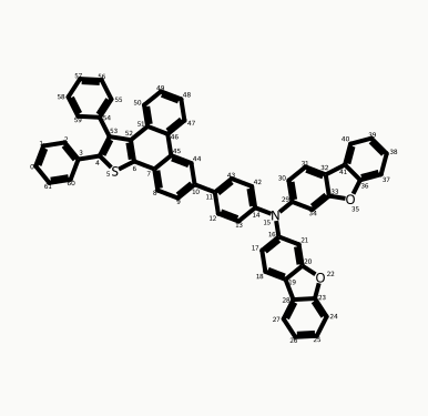 c1ccc(-c2sc3c4ccc(-c5ccc(N(c6ccc7c(c6)oc6ccccc67)c6ccc7c(c6)oc6ccccc67)cc5)cc4c4ccccc4c3c2-c2ccccc2)cc1